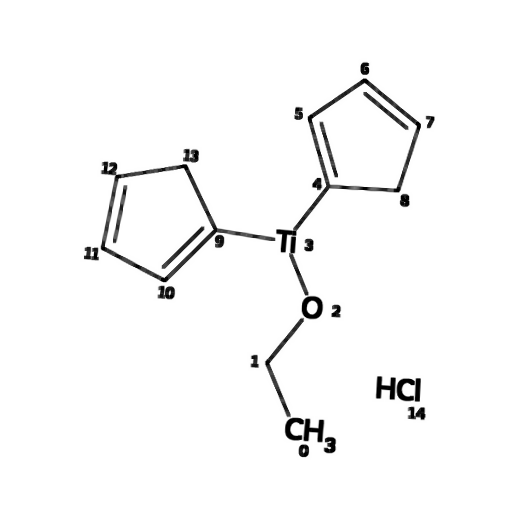 CC[O][Ti]([C]1=CC=CC1)[C]1=CC=CC1.Cl